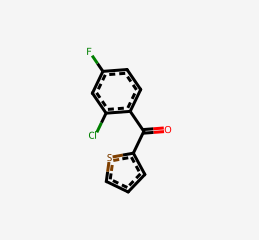 O=C(c1cccs1)c1ccc(F)cc1Cl